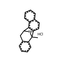 CC12NC(Cc3ccccc31)c1c2ccc2ccccc12.Cl